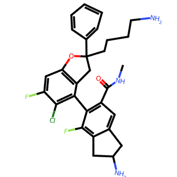 CNC(=O)c1cc2c(c(F)c1-c1c(Cl)c(F)cc3c1CC(CCCCN)(c1ccccc1)O3)CC(N)C2